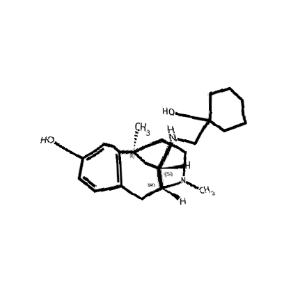 CN1CC[C@]2(C)c3cc(O)ccc3C[C@@H]1[C@H]2NCC1(O)CCCCC1